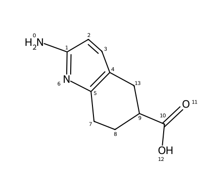 Nc1ccc2c(n1)CCC(C(=O)O)C2